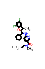 CC1c2cc(F)cc(F)c2OC1C(Nc1ccc(C(=O)N(C)CCC(=O)O)cn1)C1CCCCC1